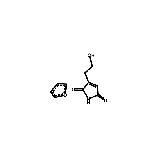 O=C1C=C(CCO)C(=O)N1.c1ccoc1